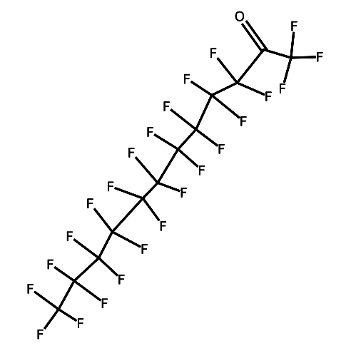 O=C(C(F)(F)F)C(F)(F)C(F)(F)C(F)(F)C(F)(F)C(F)(F)C(F)(F)C(F)(F)C(F)(F)C(F)(F)C(F)(F)F